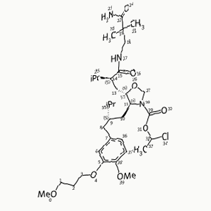 COCCCOc1cc(C[C@@H](C[C@H]2[C@H](C[C@H](C(=O)NCC(C)(C)C(N)=O)C(C)C)OCN2C(=O)OC(C)Cl)C(C)C)ccc1OC